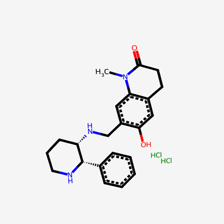 CN1C(=O)CCc2cc(O)c(CN[C@H]3CCCN[C@H]3c3ccccc3)cc21.Cl.Cl